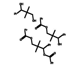 CC(C)C(=O)OCC(C)(C)C(O)C(C)C.CC(C)C(=O)OCC(C)(C)C(OC(=O)C(C)C)C(C)C.CC(C)C(O)C(C)(C)CO